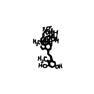 [2H]C([2H])([2H])C(O)(CCC[C@](C)(C/C=C/C(O)(F)C(F)(F)F)[C@H]1CCC2/C(=C/C=C3/C[C@@H](O)C[C@H](O)C3=C)CCC[C@@]21C)C([2H])([2H])[2H]